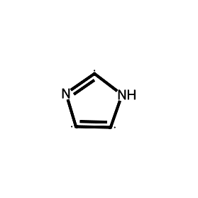 [c]1[c][nH][c]n1